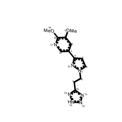 COc1cc(-c2ccn(CCc3nn[nH]n3)n2)cnc1OC